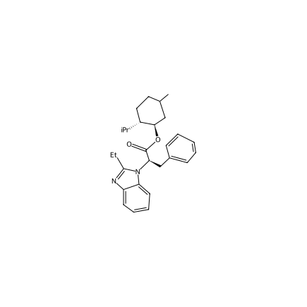 CCc1nc2ccccc2n1[C@H](Cc1ccccc1)C(=O)O[C@@H]1CC(C)CC[C@H]1C(C)C